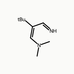 CN(C)/C=C(\C=N)C(C)(C)C